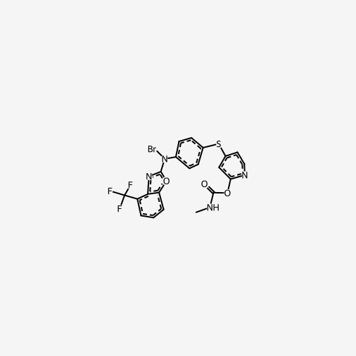 CNC(=O)Oc1cc(Sc2ccc(N(Br)c3nc4c(C(F)(F)F)cccc4o3)cc2)ccn1